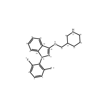 Fc1cccc(F)c1-n1nc(OCC2CCCNC2)c2ccccc21